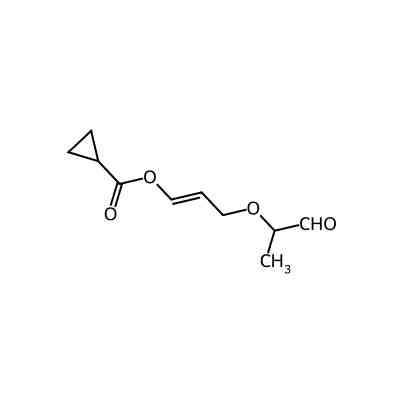 CC(C=O)OCC=COC(=O)C1CC1